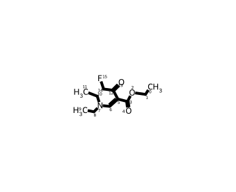 CCOC(=O)C(=CN(CC)CC)C(=O)CF